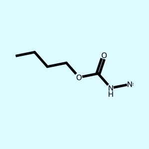 CCCCOC(=O)N[N]